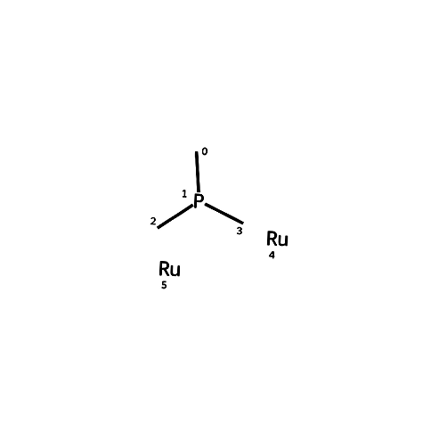 CP(C)C.[Ru].[Ru]